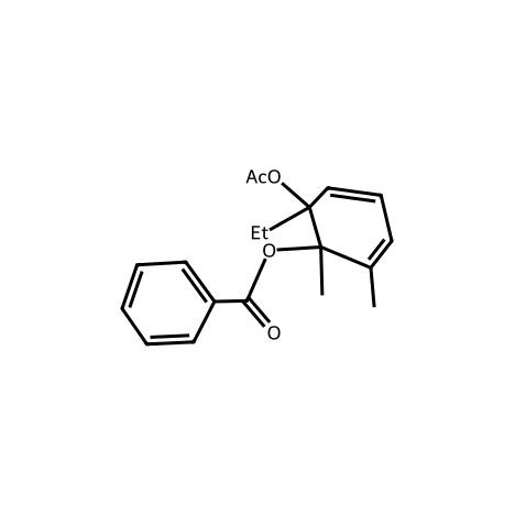 CCC1(OC(C)=O)C=CC=C(C)C1(C)OC(=O)c1ccccc1